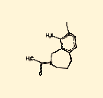 CC(=O)N1CCCc2ccc(I)c(N)c2C1